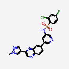 Cn1cc(-c2cnc3ccc(-c4cncc(NS(=O)(=O)c5ccc(F)cc5Cl)c4)cc3n2)cn1